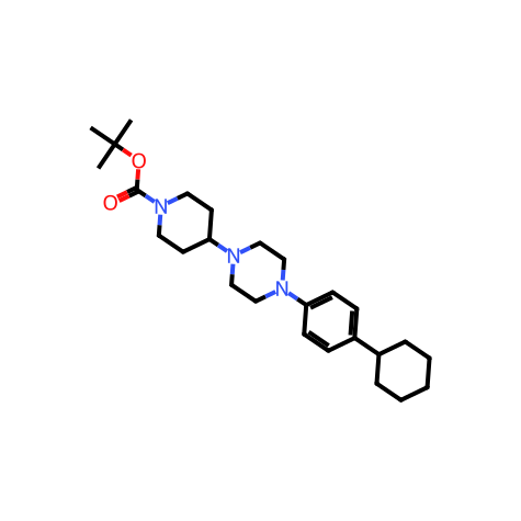 CC(C)(C)OC(=O)N1CCC(N2CCN(c3ccc(C4CCCCC4)cc3)CC2)CC1